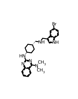 CN(C)c1nc(N[C@H]2CC[C@@H](CNCc3c[nH]c4ccc(Br)cc34)CC2)nc2ccccc12